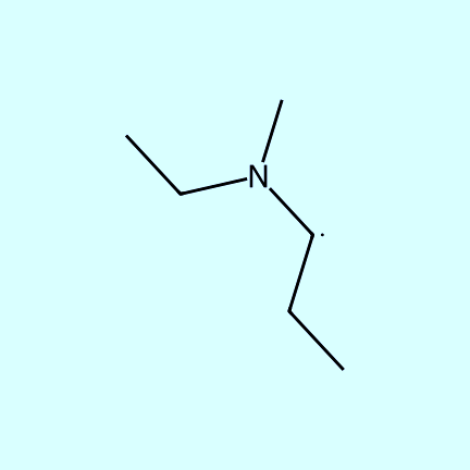 CC[CH]N(C)CC